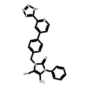 CCCc1c(C)n(-c2ccccc2)c(=O)n1Cc1ccc(-c2ccnc(-c3nnn[nH]3)c2)cc1